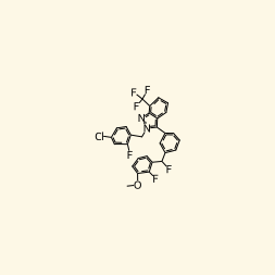 COc1cccc(C(F)c2cccc(-c3c4cccc(C(F)(F)F)c4nn3Cc3ccc(Cl)cc3F)c2)c1F